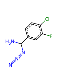 [N-]=[N+]=NC(N)c1ccc(Cl)c(F)c1